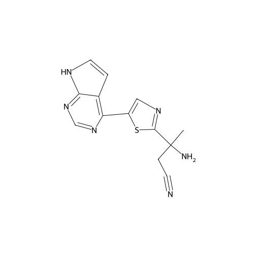 CC(N)(CC#N)c1ncc(-c2ncnc3[nH]ccc23)s1